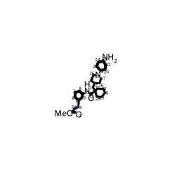 COC(=O)/C=C/c1cccc(NC(=O)C2(CC3CCN(c4ccc(N)cc4)CC3)CCCCC2)c1